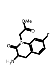 COC(=O)CN1C(=O)C(N)Cc2ccc(F)cc21